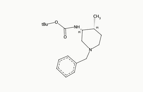 C[C@@H]1CCN(Cc2ccccc2)C[C@@H]1NC(=O)OC(C)(C)C